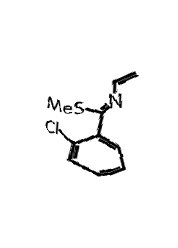 C=C/N=C(\SC)c1ccccc1Cl